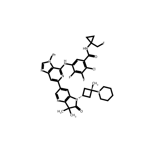 CC(C)n1cnc2cc(-c3cnc4c(c3)N([C@H]3C[C@@](C)(N5CCCCC5)C3)C(=O)C4(C)C)nc(Nc3cc(C(=O)NC4(CF)CC4)c(Cl)c(F)c3F)c21